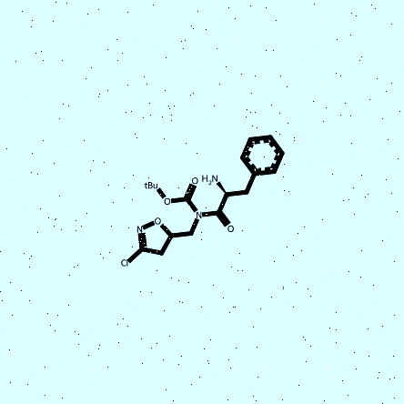 CC(C)(C)OC(=O)N(CC1CC(Cl)=NO1)C(=O)[C@@H](N)Cc1ccccc1